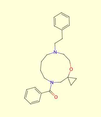 O=C(c1ccccc1)N1CCCCN(CCc2ccccc2)CCOC2(CC2)C1